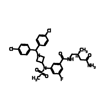 C[C@H](CNC(=O)c1cc(F)cc(N(C2CN(C(c3ccc(Cl)cc3)c3ccc(Cl)cc3)C2)S(C)(=O)=O)c1)CC(N)=O